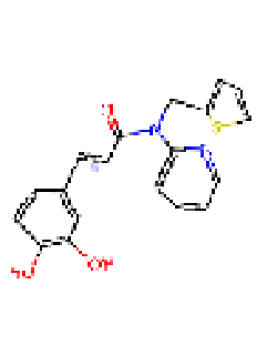 O=C(/C=C/c1ccc(O)c(O)c1)N(Cc1cccs1)c1ccccn1